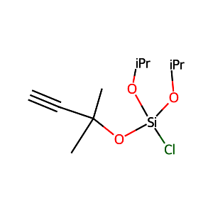 C#CC(C)(C)O[Si](Cl)(OC(C)C)OC(C)C